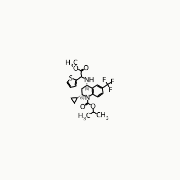 COC(=O)C(N[C@H]1C[C@@H](C2CC2)N(C(=O)OC(C)C)c2ccc(C(F)(F)F)cc21)c1cccs1